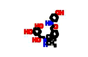 CC(C)(Cc1cccc(CC(=O)NC2CCC(O)CC2)c1)NCC(O)c1cc(O)cc(O)c1